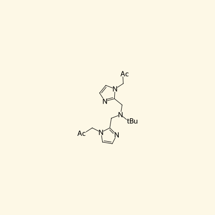 CC(=O)Cn1ccnc1CN(Cc1nccn1CC(C)=O)C(C)(C)C